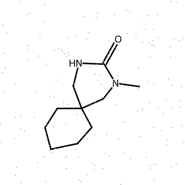 CN1CC2(CCCCC2)CNC1=O